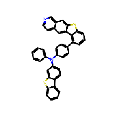 c1ccc(N(c2ccc(-c3cccc4sc5cc6cnccc6cc5c34)cc2)c2ccc3c(c2)sc2ccccc23)cc1